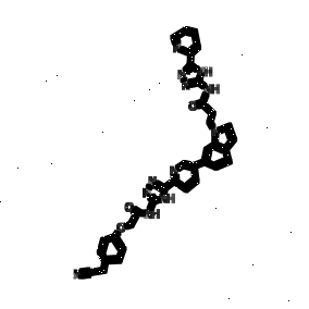 N#CCc1ccc(OCC(=O)Nc2nnc(-c3ccc(-c4ccc5ccn(CCC(=O)Nc6nnc(-c7ccccn7)[nH]6)c5c4)cn3)[nH]2)cc1